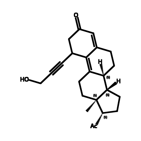 CC(=O)[C@H]1CC[C@H]2[C@@H]3CCC4=CC(=O)CC(C#CCO)C4=C3CC[C@]12C